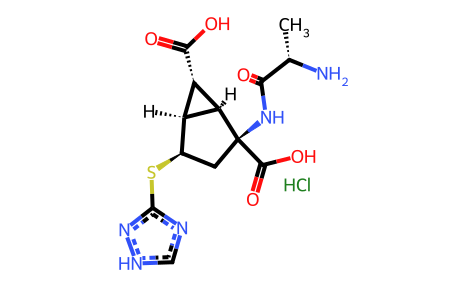 C[C@H](N)C(=O)N[C@@]1(C(=O)O)C[C@@H](Sc2nc[nH]n2)[C@H]2[C@H](C(=O)O)[C@H]21.Cl